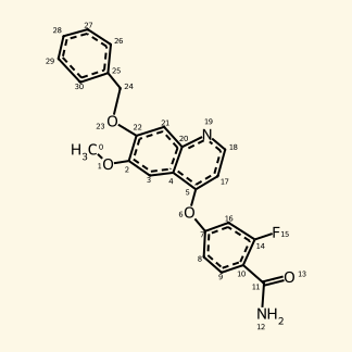 COc1cc2c(Oc3ccc(C(N)=O)c(F)c3)ccnc2cc1OCc1ccccc1